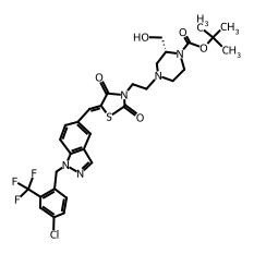 CC(C)(C)OC(=O)N1CCN(CCN2C(=O)SC(=Cc3ccc4c(cnn4Cc4ccc(Cl)cc4C(F)(F)F)c3)C2=O)C[C@@H]1CO